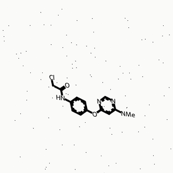 CNc1cc(Oc2ccc(NC(=O)CCl)cc2)ncn1